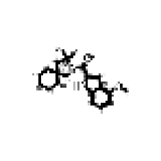 COc1cccc2[nH]c(C(=O)N3CC4(CCCCC4)CC3(C)C)cc12